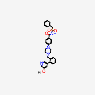 CCOc1cncc(-c2ccccc2CN2CCN(c3ccc(C(=O)NS(=O)(=O)Cc4ccccc4)cc3)CC2)c1